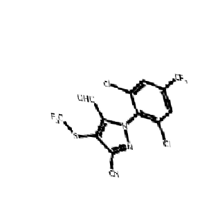 N#Cc1nn(-c2c(Cl)cc(C(F)(F)F)cc2Cl)c(C=O)c1SC(F)(F)F